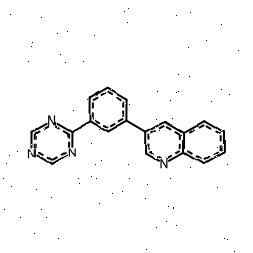 c1cc(-c2cnc3ccccc3c2)cc(-c2ncncn2)c1